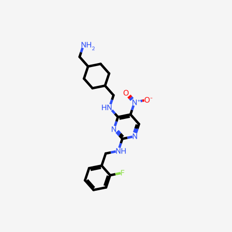 NCC1CCC(CNc2nc(NCc3ccccc3F)ncc2[N+](=O)[O-])CC1